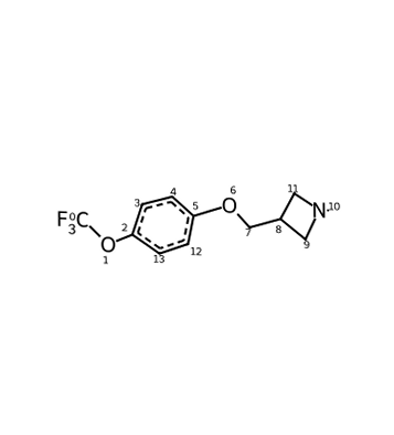 FC(F)(F)Oc1ccc(OCC2C[N]C2)cc1